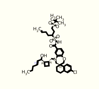 C=CCCC(CCS(=O)(=O)C(C)(C)C)S(=O)(=O)NC(=O)c1ccc2c(c1)N(C[C@@H]1CC[C@H]1C(O)/C=C/CCC)C[C@@]1(CCCc3cc(Cl)ccc31)CO2